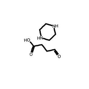 C1CNCCN1.O=CCCC(=O)O